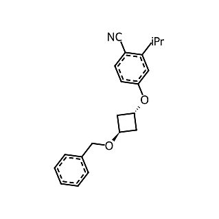 CC(C)c1cc(O[C@H]2C[C@H](OCc3ccccc3)C2)ccc1C#N